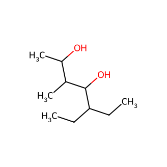 CCC(CC)C(O)C(C)C(C)O